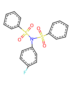 O=S(=O)(c1ccccc1)N(c1ccc(F)cc1)S(=O)(=O)c1ccccc1